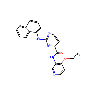 O=C(Nc1cnccc1OCC(F)(F)F)c1ccnc(Nc2cccc3ccccc23)n1